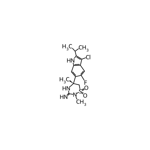 CC(C)c1[nH]c2cc([C@]3(C)CS(=O)(=O)N(C)C(=N)N3)c(F)cc2c1Cl